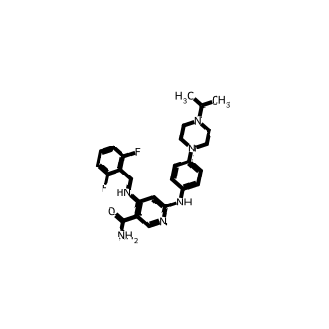 CC(C)N1CCN(c2ccc(Nc3cc(NCc4c(F)cccc4F)c(C(N)=O)cn3)cc2)CC1